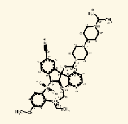 CCOc1cc(OC)ccc1S(=O)(=O)N1C(=O)C(NC(=O)N2CCN(C3CCN(C(C)C)CC3)CC2)(c2cccnc2OCC)c2cc(C#N)ccc21